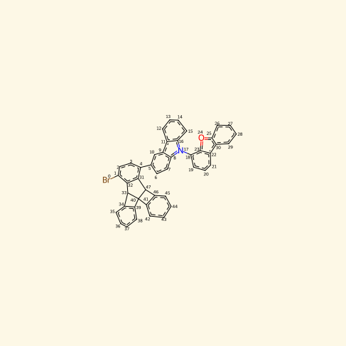 Brc1ccc(-c2ccc3c(c2)c2ccccc2n3-c2cccc3c2oc2ccccc23)c2c1C1c3ccccc3C13c1ccccc1C23